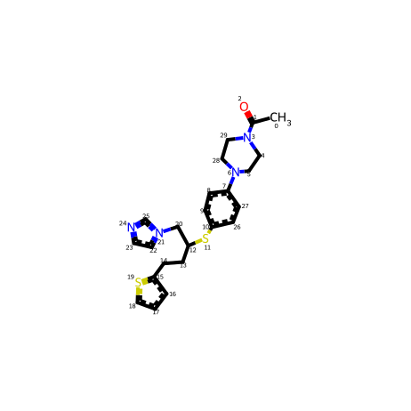 CC(=O)N1CCN(c2ccc(SC(CCc3cccs3)Cn3ccnc3)cc2)CC1